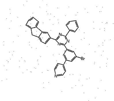 Brc1cc(-c2ccncc2)cc(-c2nc(-c3ccccc3)nc(-c3ccc4c(c3)-c3ccccc3C4)n2)c1